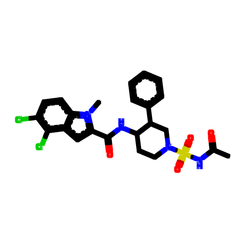 CC(=O)NS(=O)(=O)N1CCC(NC(=O)c2cc3c(Cl)c(Cl)ccc3n2C)C(c2ccccc2)C1